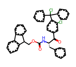 O=C(N[C@@H](Cc1ccccc1)C(=O)c1ccc(C(Cl)(c2ccccc2)c2ccccc2)c(Cl)c1)OCC1c2ccccc2-c2ccccc21